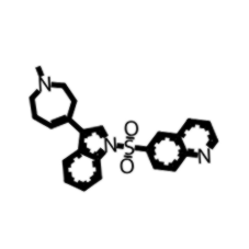 CN1CCC=C(c2cn(S(=O)(=O)c3ccc4ncccc4c3)c3ccccc23)CC1